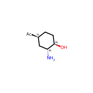 CC(=O)[C@H]1CC[C@@H](O)[C@H](N)C1